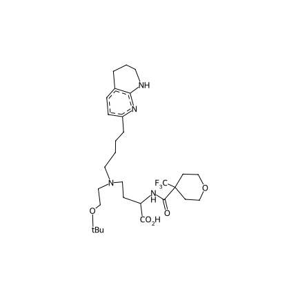 CC(C)(C)OCCN(CCCCc1ccc2c(n1)NCCC2)CCC(NC(=O)C1(C(F)(F)F)CCOCC1)C(=O)O